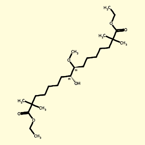 CCOC(=O)C(C)(C)CCCCC[C@@H](O)[C@H](CCCCCC(C)(C)C(=O)OCC)OC